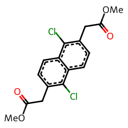 COC(=O)Cc1ccc2c(Cl)c(CC(=O)OC)ccc2c1Cl